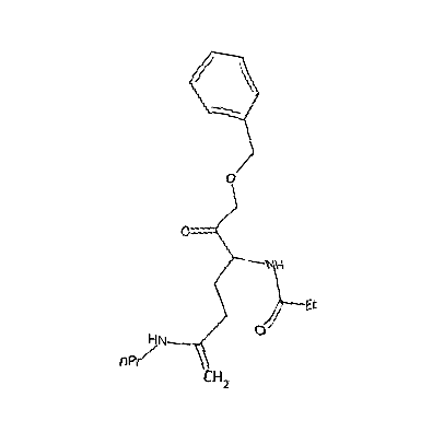 C=C(CCC(NC(=O)CC)C(=O)COCc1ccccc1)NCCC